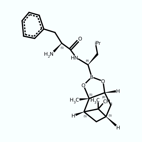 CC(C)C[C@H](NC(=O)[C@@H](N)Cc1ccccc1)B1O[C@@H]2C[C@@H]3C[C@@H](C3(C)C)[C@]2(C)O1